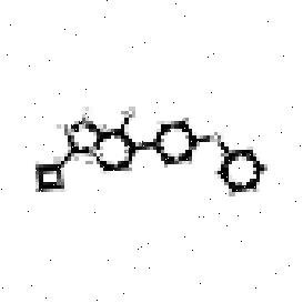 Clc1c(-c2ccc(Oc3ccccc3)cc2)ccn2c(C3=CC=C3)nnc12